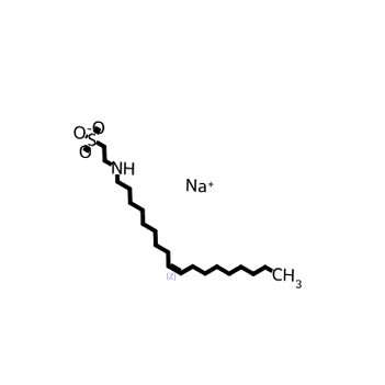 CCCCCCCC/C=C\CCCCCCCCNCCS(=O)(=O)[O-].[Na+]